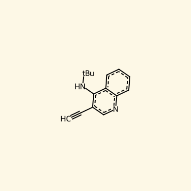 C#Cc1cnc2ccccc2c1NC(C)(C)C